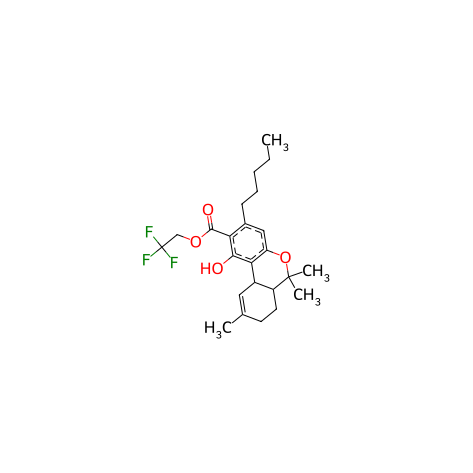 CCCCCc1cc2c(c(O)c1C(=O)OCC(F)(F)F)C1C=C(C)CCC1C(C)(C)O2